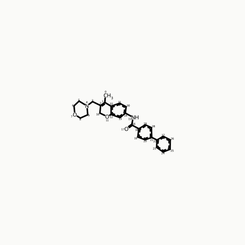 CC1=C(CN2CCOCC2)COc2cc(NC(=O)c3ccc(-c4ccccc4)cc3)ccc21